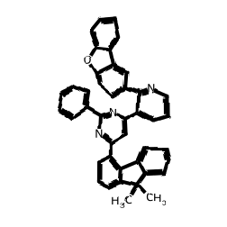 CC1(C)c2ccccc2-c2c(-c3cc(-c4cccnc4-c4ccc5oc6ccccc6c5c4)nc(-c4ccccc4)n3)cccc21